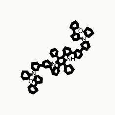 C1=CC(N(c2ccccc2)c2cccc3c2oc2ccccc23)CC(c2cccc(-c3cccc4c3[nH]c3c(-c5ccccc5)c5c6cccc7c8cc(-c9cccc(N(C%10=CCCC=C%10)c%10cccc%11c%10oc%10ccccc%10%11)c9)ccc8n(c5c(-c5ccccc5)c34)c76)c2)=C1